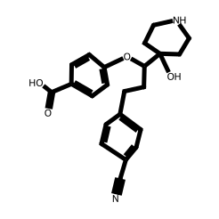 N#Cc1ccc(CCC(Oc2ccc(C(=O)O)cc2)C2(O)CCNCC2)cc1